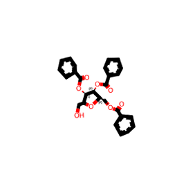 O=C(OC[C@H]1OC(CO)[C@H](OC(=O)c2ccccc2)[C@@H]1OC(=O)c1ccccc1)c1ccccc1